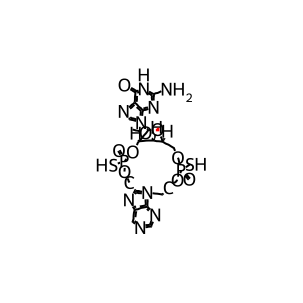 CO[C@H]1[C@H]2OP(=O)(S)OCc3nc4cncnc4n3CCOP(=O)(S)OC[C@H]1O[C@H]2n1cnc2c(=O)[nH]c(N)nc21